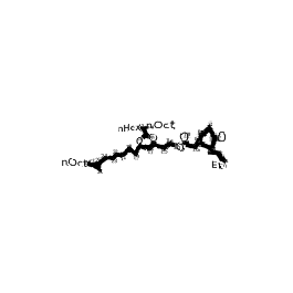 CC/C=C\CC1C(=O)CCC1CC(=O)OCCC(CCCCCCCCC1CC1CCCCCCCC)OC(=O)C(CCCCCC)CCCCCCCC